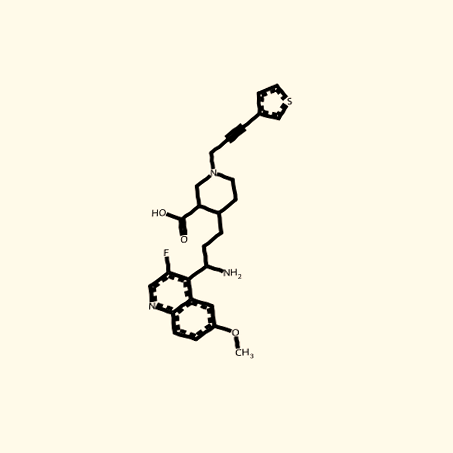 COc1ccc2ncc(F)c(C(N)CCC3CCN(CC#Cc4ccsc4)CC3C(=O)O)c2c1